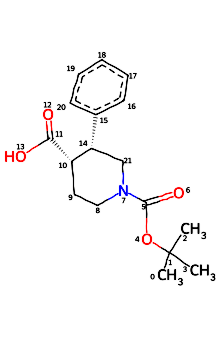 CC(C)(C)OC(=O)N1CC[C@H](C(=O)O)[C@H](c2ccccc2)C1